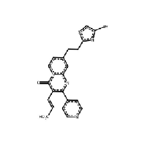 CC(C)c1csc(CCc2ccn3c(=O)c(/C=C/C(=O)O)c(-c4ccncc4)nc3c2)n1